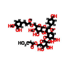 O=C(O)CC(=O)OCC1O[C@@H](Oc2cc(O)cc3[o+]c(-c4ccc(O)cc4)c(O[C@@H]4OC(COC(=O)/C=C/c5ccc(O)c(O)c5)[C@@H](O)C(O)C4O)cc23)C(O)[C@@H](O)[C@@H]1O